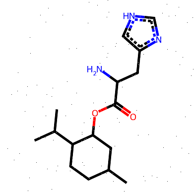 CC1CCC(C(C)C)C(OC(=O)C(N)Cc2c[nH]cn2)C1